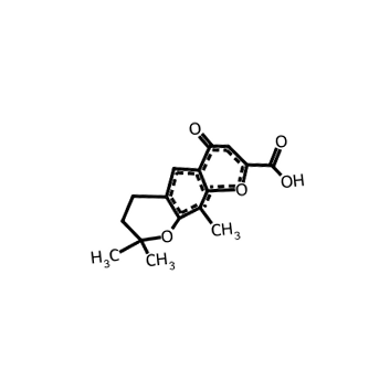 Cc1c2c(cc3c(=O)cc(C(=O)O)oc13)CCC(C)(C)O2